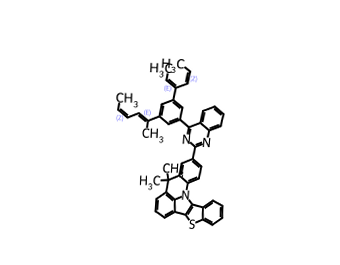 C/C=C\C=C(/C)c1cc(C(/C=C\C)=C/C)cc(-c2nc(-c3ccc4c(c3)C(C)(C)c3cccc5c6sc7ccccc7c6n-4c35)nc3ccccc23)c1